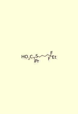 CCC(F)(F)CCCCSC(C(=O)O)C(C)C